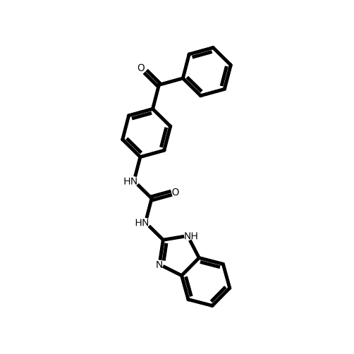 O=C(Nc1ccc(C(=O)c2ccccc2)cc1)Nc1nc2ccccc2[nH]1